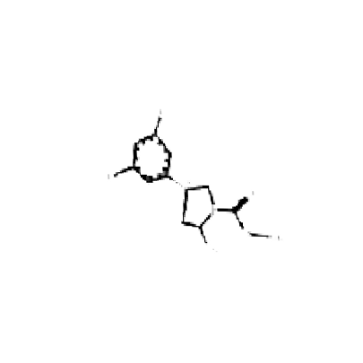 CC(C)(C)OC(=O)N1C[C@H](c2cc(F)cc(F)c2)CC1C#N